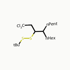 CCCCCCC(CCCCC)C(CC(Cl)(Cl)Cl)SSC(C)(C)C